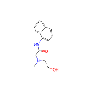 CN(CCO)CC(=O)Nc1cccc2ccccc12